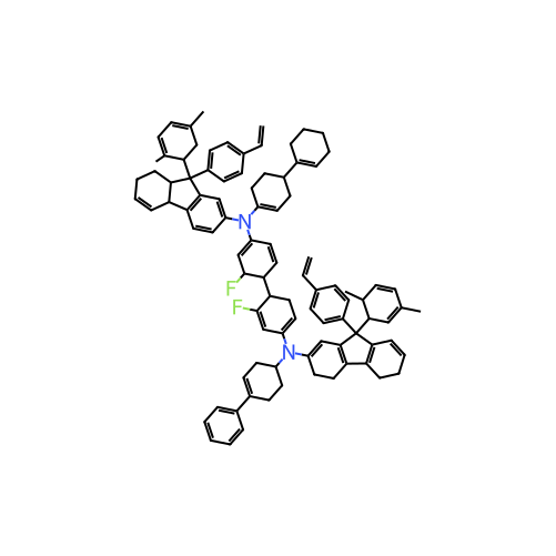 C=Cc1ccc(C2(C3C=C(C)C=CC3C)C3=C(CCC=C3)C3=C2C=C(N(C2=CCC(C4C=CC(N(C5=CCC(C6=CCCCC6)CC5)c5ccc6c(c5)C(c5ccc(C=C)cc5)(C5CC(C)=CC=C5C)C5CCC=CC65)=CC4F)C(F)=C2)C2CC=C(c4ccccc4)CC2)CC3)cc1